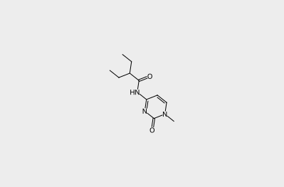 CCC(CC)C(=O)Nc1ccn(C)c(=O)n1